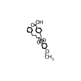 CCOc1ccc(S(=O)(=O)N(CCCc2ccccc2)Cc2ccc(C(=O)O)cc2)cc1